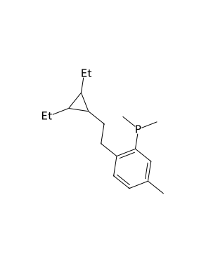 CCC1C(CC)C1CCc1ccc(C)cc1P(C)C